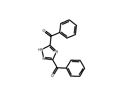 O=C(c1ccccc1)c1n[nH]c(C(=O)c2ccccc2)n1